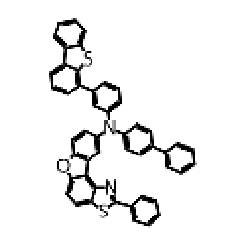 c1ccc(-c2ccc(N(c3cccc(-c4cccc5c4sc4ccccc45)c3)c3ccc4oc5ccc6sc(-c7ccccc7)nc6c5c4c3)cc2)cc1